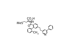 CSCC[C@H](NC(=O)c1ccc(CCc2cncc(-c3ccccc3)c2)cc1-c1ccccc1C)C(=O)O